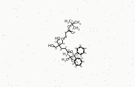 CC(C)(C)OC(=O)CCOCC(CO)(CO)CCCO[Si](c1ccccc1)(c1ccccc1)C(C)(C)C